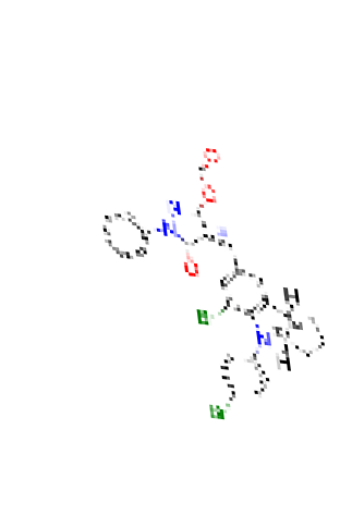 O=COC1=NN(c2ccccc2)C(=O)/C1=C\c1cc(Br)c2c(c1)[C@@H]1CCC[C@@H]1N2c1ccc(Br)cc1